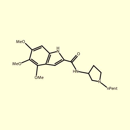 CCCCCN1CCC(NC(=O)c2cc3c(OC)c(OC)c(OC)cc3[nH]2)C1